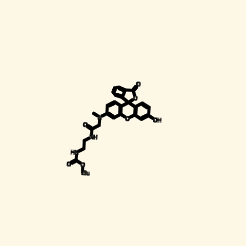 CN(CC(=O)NCCNC(=O)OC(C)(C)C)c1ccc2c(c1)Oc1cc(O)ccc1C21OC(=O)c2ccccc21